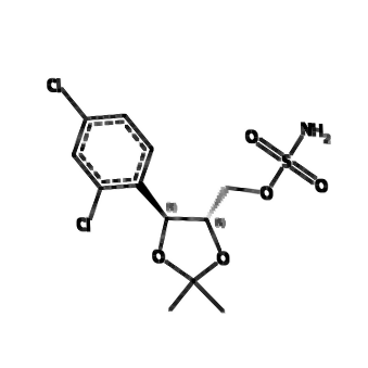 CC1(C)O[C@@H](COS(N)(=O)=O)[C@H](c2ccc(Cl)cc2Cl)O1